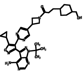 CC(C)(C)n1nc(-c2noc(C3CC3)c2-c2ncc(C3CN(C(=O)CCC4CCC(CO)CC4)C3)cn2)c2c(N)ncnc21